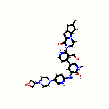 CC1Cc2cc3c(=O)n(-c4nccc(-c5cc(Nc6ccc(N7CCN(C8COC8)CC7)cn6)c(=O)n(C)c5)c4CO)ccn3c2C1